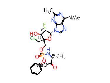 CNc1nc(C)nc2c1ncn2[C@@H]1O[C@](CCl)(CO[P@](=O)(N[C@H](C)C(=O)OC)Oc2ccccc2)[C@@H](O)[C@H]1F